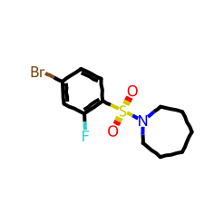 O=S(=O)(c1ccc(Br)cc1F)N1CCCCCC1